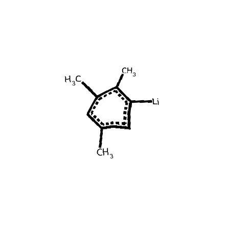 [Li][c]1cc(C)cc(C)c1C